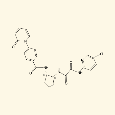 O=C(Nc1ccc(Cl)cn1)C(=O)N[C@@H]1CCC[C@@H]1NC(=O)c1ccc(-n2ccccc2=O)cc1